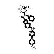 CN1CCN(c2ccc(Nc3ncc4cc5n(c4n3)C3(CCCCC3)CN(C(=O)OC(C)(C)C)C5=O)nc2)CC1